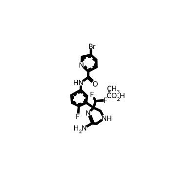 CC(=O)O.NC1=NC(c2cc(NC(=O)c3ccc(Br)cn3)ccc2F)(C(F)F)CNC1